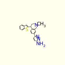 CN1CCC(c2cc3ccccc3s2)c2ccc(-c3ccc(N)nn3)cc2C1